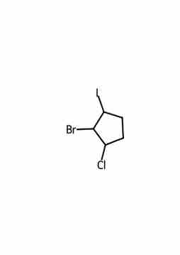 ClC1CCC(I)C1Br